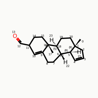 C[C@@]12CC=C[C@H]1[C@@H]1CCC3=CC(C=O)CC[C@]3(C)[C@H]1CC2